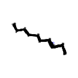 [CH2]CCCCC/C=C/CC